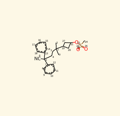 CC(C)(CCC(C#N)(c1ccccc1)c1ccccc1)C1CC(OS(C)(=O)=O)C1